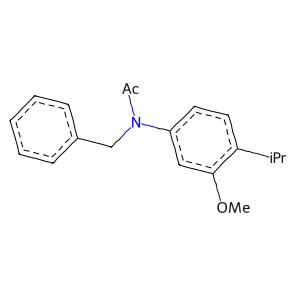 COc1cc(N(Cc2ccccc2)C(C)=O)ccc1C(C)C